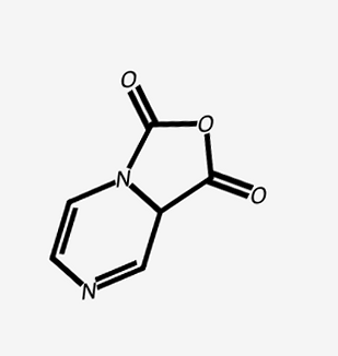 O=C1OC(=O)N2C=CN=CC12